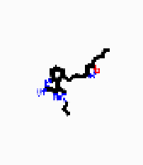 CCCCc1cc(CCCc2cccc3nc(N)c4nn(CCC)cc4c23)no1